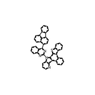 c1ccc2c(c1)-c1cccc3c(-c4nc(-n5c6cccnc6c6c7ccccc7c7c8ccccc8sc7c65)nc5ccccc45)ccc-2c13